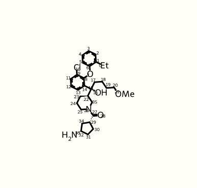 CCc1ccccc1Oc1c(Cl)cccc1[C@](O)(CCCCOC)[C@@H]1CCCN(C(=O)[C@@H]2CC[C@H](N)C2)C1